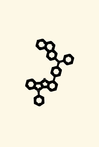 c1ccc(N(c2ccc(-c3cccc4c3sc3c5ccccc5n(-c5ccccc5)c43)cc2)c2ccc3c(ccc4ccccc43)c2)cc1